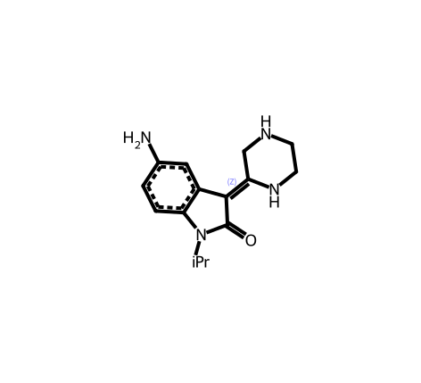 CC(C)N1C(=O)/C(=C2/CNCCN2)c2cc(N)ccc21